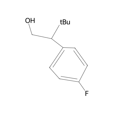 CC(C)(C)C(CO)c1ccc(F)cc1